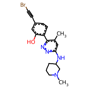 Cc1cc(NC2CCCN(C)C2)nnc1-c1ccc(C#CBr)cc1O